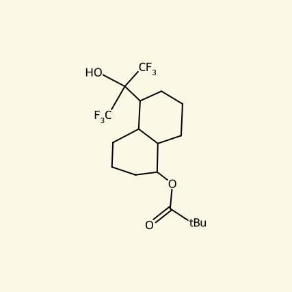 CC(C)(C)C(=O)OC1CCCC2C1CCCC2C(O)(C(F)(F)F)C(F)(F)F